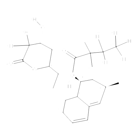 [2H]O[C@@H]1CC(CC[C@@H]2[C@@H]3C(=C[C@H](C)C[C@@H]3OC(=O)C(C)(C)C([2H])([2H])C([2H])([2H])[2H])C=C[C@@H]2C)OC(=O)C1([2H])[2H]